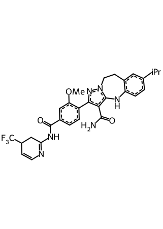 COc1cc(C(=O)NC2=NC=CC(C(F)(F)F)C2)ccc1-c1nn2c(c1C(N)=O)Nc1ccc(C(C)C)cc1CC2